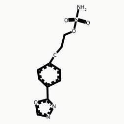 NS(=O)(=O)OCCCc1ccc(-c2nnco2)cc1